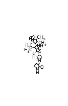 Cc1c(-c2[nH]c3sc([C@@H]4CC5CC4CN5Cc4ccc[nH]c4=O)c(C)c3c2C(C)C)cn2ncnc2c1C